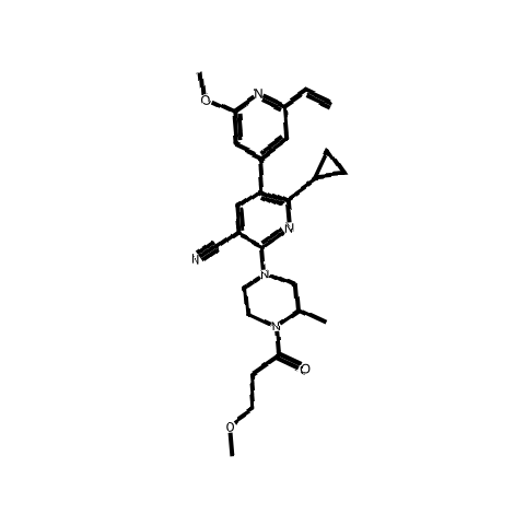 C=Cc1cc(-c2cc(C#N)c(N3CCN(C(=O)CCOC)C(C)C3)nc2C2CC2)cc(OC)n1